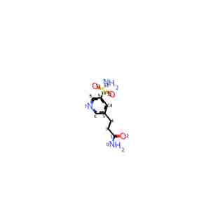 NC(=O)C[CH]c1cncc(S(N)(=O)=O)c1